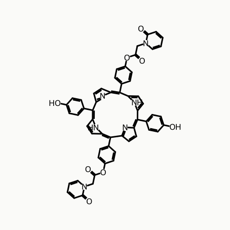 O=C(Cn1ccccc1=O)Oc1ccc(-c2c3nc(c(-c4ccc(O)cc4)c4ccc([nH]4)c(-c4ccc(OC(=O)Cn5ccccc5=O)cc4)c4nc(c(-c5ccc(O)cc5)c5ccc2[nH]5)C=C4)C=C3)cc1